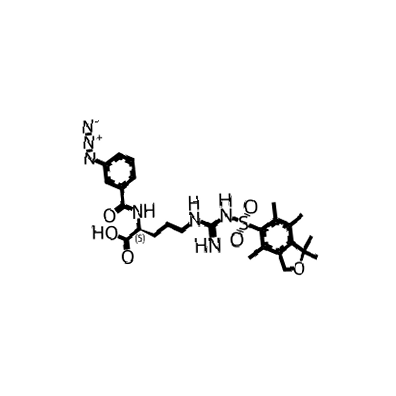 Cc1c(C)c(S(=O)(=O)NC(=N)NCCC[C@H](NC(=O)c2cccc(N=[N+]=[N-])c2)C(=O)O)c(C)c2c1C(C)(C)OC2